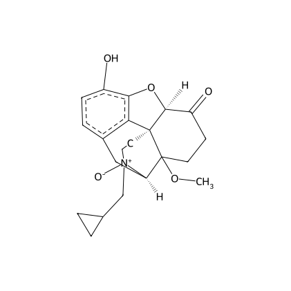 COC12CCC(=O)[C@@H]3Oc4c(O)ccc5c4[C@@]31CC[N+]([O-])(CC1CC1)[C@@H]2C5